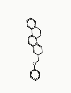 C1=c2ccc3c(c2=CCC1COc1ccccc1)CCc1ccccc1-3